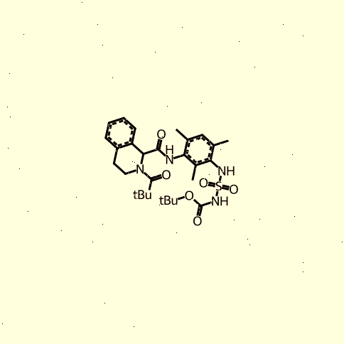 Cc1cc(C)c(NS(=O)(=O)NC(=O)OC(C)(C)C)c(C)c1NC(=O)C1c2ccccc2CCN1C(=O)C(C)(C)C